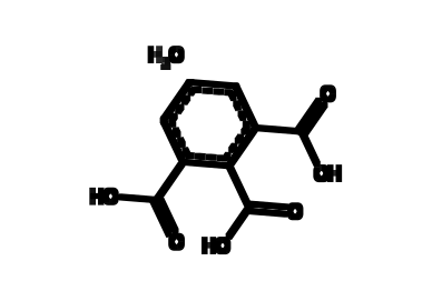 O.O=C(O)c1cccc(C(=O)O)c1C(=O)O